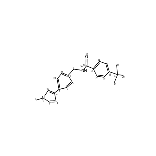 Cn1ccc(-c2ccc(CNC(=O)c3ccc(C(C)(C)C)cc3)cc2)c1